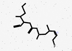 C=CC(CC(=C)CC(C)CC(C)/C=C\CF)C(C)CCC